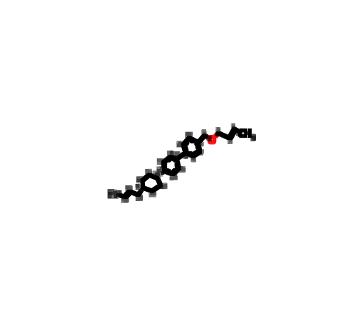 CC=CCOCc1ccc(-c2ccc([C@H]3CC[C@H](CC=CCC)CC3)cc2)cc1